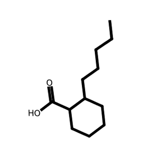 CCCCCC1CCCCC1C(=O)O